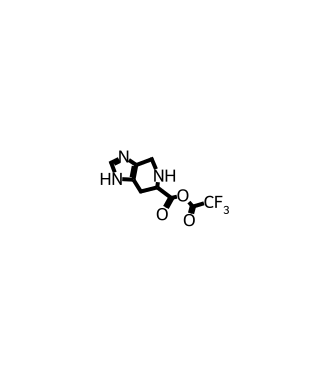 O=C(OC(=O)C(F)(F)F)C1Cc2[nH]cnc2CN1